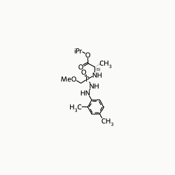 COCP(=O)(NNc1ccc(C)cc1C)N[C@@H](C)C(=O)OC(C)C